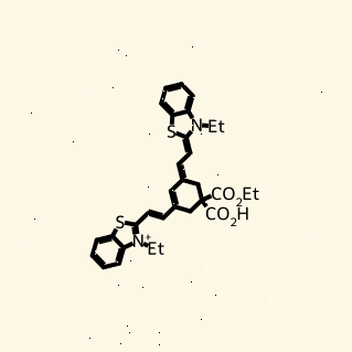 CCOC(=O)C1(C(=O)O)CC(/C=C/c2sc3ccccc3[n+]2CC)=CC(=C/C=C2\Sc3ccccc3N2CC)/C1